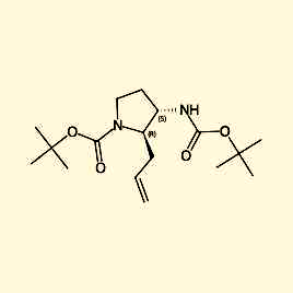 C=CC[C@@H]1[C@@H](NC(=O)OC(C)(C)C)CCN1C(=O)OC(C)(C)C